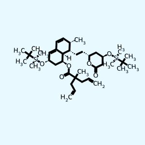 C=CCC(C)(CC=C)C(=O)O[C@H]1C[C@H](O[Si](C)(C)C(C)(C)C)C=C2C=C[C@H](C)[C@H](CC[C@@H]3C[C@@H](O[Si](C)(C)C(C)(C)C)CC(=O)O3)[C@H]21